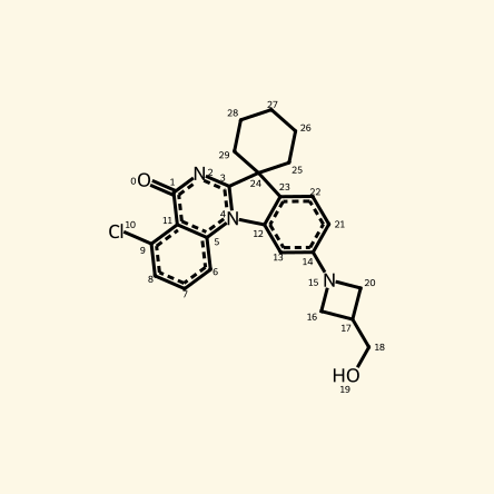 O=c1nc2n(c3cccc(Cl)c13)-c1cc(N3CC(CO)C3)ccc1C21CCCCC1